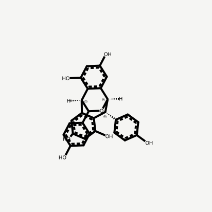 Oc1ccc(C2O[C@H]3c4cc(O)cc(O)c4[C@@H]2c2cc(O)cc(O)c2[C@H]3c2ccc(O)cc2)cc1